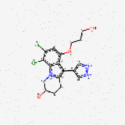 OCCCOc1cc(Cl)c(Cl)c2c1c(-c1cn[nH]c1)c1n2CC(O)CC1